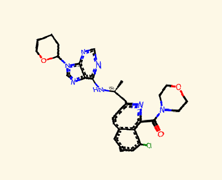 C[C@H](Nc1ncnc2c1ncn2C1CCCCO1)c1cc2cccc(Cl)c2c(C(=O)N2CCOCC2)n1